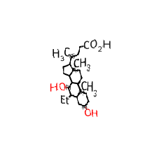 CCC1C2C[C@H](O)CC[C@]2(C)C2CC[C@@]3(C)C(CCC3[C@H](C)CCC(=O)O)C2[C@@H]1O